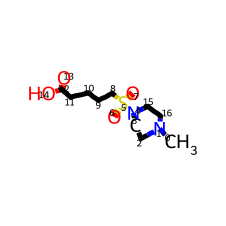 CN1CCN(S(=O)(=O)CCCCC(=O)O)CC1